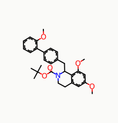 COc1cc2c(c(OC)c1)C(Cc1ccc(-c3ccccc3OC)cc1)N(C(=O)OC(C)(C)C)CC2